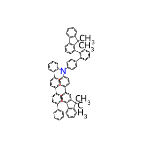 CC1(C)c2ccccc2-c2ccc(-c3ccc(N(c4ccc(-c5ccccc5-c5cccc6c5C(C)(C)c5ccccc5-6)cc4)c4ccccc4-c4ccc(-c5ccc(-c6ccccc6)cc5)cc4)cc3)cc21